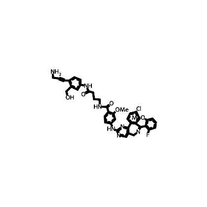 COc1cc(Nc2ncc3c(n2)-c2ccc(Cl)cc2C(c2c(F)cccc2OC)=NC3)ccc1C(=O)NCCCC(=O)Nc1ccc(C#CCN)c(CO)c1